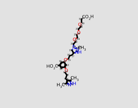 Cc1n[nH]c(C)c1CCCOc1cc(OCCCC2CN(CCOCCOCCOCCC(=O)O)N(C)N2)cc(C(=O)O)c1